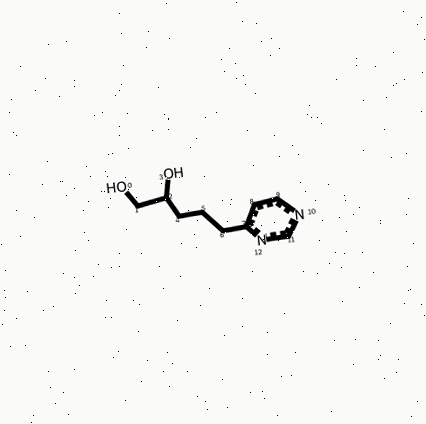 OCC(O)CCCc1ccncn1